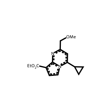 CCOC(=O)c1ccn2c(C3CC3)cc(COC)nc12